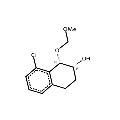 COCO[C@H]1c2c(Cl)cccc2CC[C@H]1O